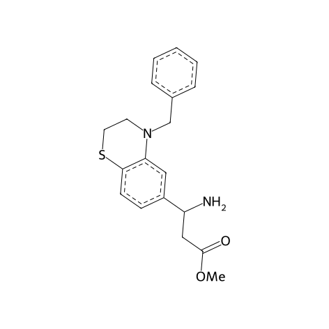 COC(=O)CC(N)c1ccc2c(c1)N(Cc1ccccc1)CCS2